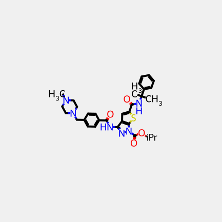 CC(C)OC(=O)n1nc(NC(=O)c2ccc(CN3CCN(C)CC3)cc2)c2cc(C(=O)NC(C)(C)c3ccccc3)sc21